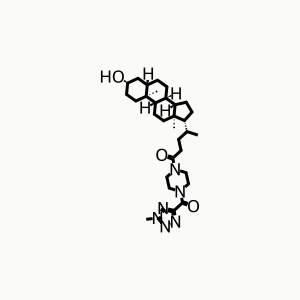 CC(CCC(=O)N1CCN(C(=O)c2nnn(C)n2)CC1)[C@H]1CC[C@H]2[C@@H]3CC[C@H]4C[C@@H](O)CC[C@]4(C)[C@H]3CC[C@]12C